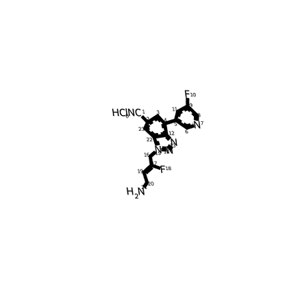 Cl.N#Cc1cc(-c2cncc(F)c2)c2nnn(C/C(F)=C/CN)c2c1